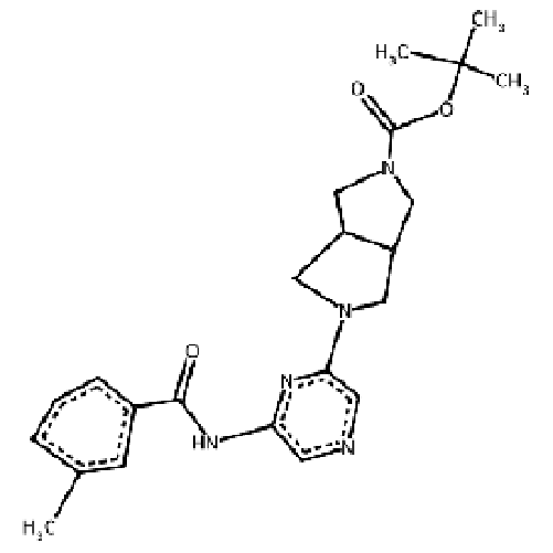 Cc1cccc(C(=O)Nc2cncc(N3CC4CN(C(=O)OC(C)(C)C)CC4C3)n2)c1